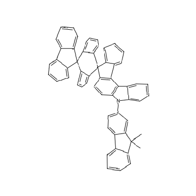 CC1(C)c2ccccc2-c2ccc(-n3c4ccccc4c4c5c(ccc43)C3(c4ccccc4-5)c4ccccc4C4(c5ccccc5-c5ccccc54)c4ccccc43)cc21